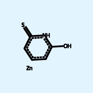 Oc1cccc(=S)[nH]1.[Zn]